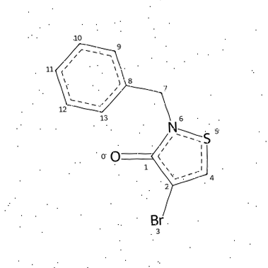 O=c1c(Br)csn1Cc1ccccc1